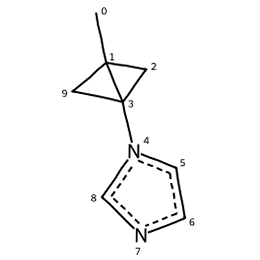 CC12CC1(n1ccnc1)C2